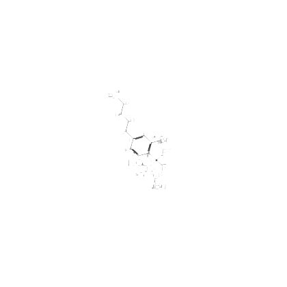 CCC(C)OP(=O)(O)C(F)(F)c1ccc(CCCCBr)cc1Br